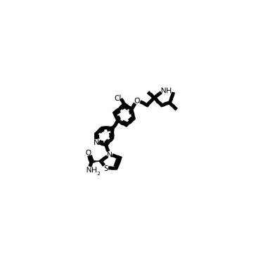 CC(C)CC(C)(N)COc1ccc(-c2ccnc(N3C=CS[C@H]3C(N)=O)c2)cc1Cl